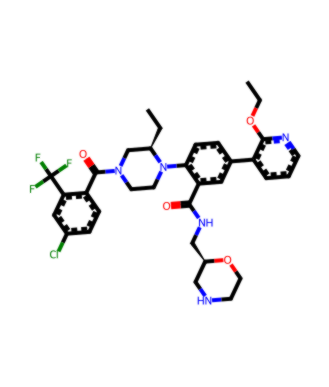 CCOc1ncccc1-c1ccc(N2CCN(C(=O)c3ccc(Cl)cc3C(F)(F)F)C[C@H]2CC)c(C(=O)NC[C@@H]2CNCCO2)c1